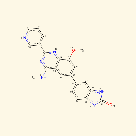 CNc1nc(-c2cccnc2)nc2c(OC)cc(-c3ccc4[nH]c(=O)[nH]c4c3)cc12